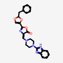 O=C1OC(C2=COC(Cc3ccccc3)O2)=NC1=CN1CCN(c2nc3ccccc3[nH]2)CC1